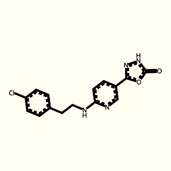 O=c1[nH]nc(-c2ccc(NCCc3ccc(Cl)cc3)nc2)o1